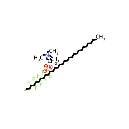 CCCCCCCCCCCCCCCCCCCCC(C(F)C(F)C(F)C(F)C(F)C(F)C(F)C(F)CCF)S(=O)(=O)[O-].CC[N+](CC)(CC)CC